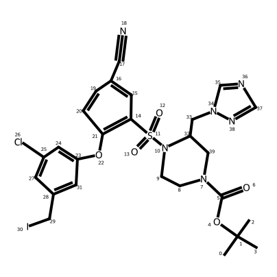 CC(C)(C)OC(=O)N1CCN(S(=O)(=O)c2cc(C#N)ccc2Oc2cc(Cl)cc(CI)c2)C(Cn2cncn2)C1